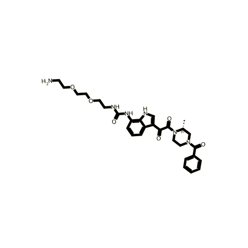 C[C@@H]1CN(C(=O)c2ccccc2)CCN1C(=O)C(=O)c1c[nH]c2c(NC(=O)NCCOCCOCCN)cccc12